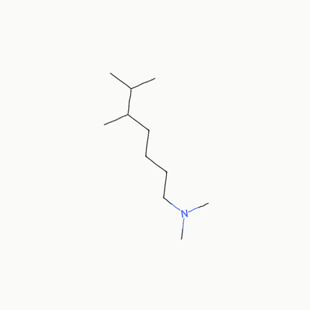 CC(C)C(C)CCCCN(C)C